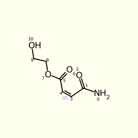 NC(=O)/C=C\C(=O)OCCO